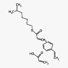 C=CC(=O)O.C=CC(=O)OCCCCCC(C)C.C=Cc1ccccc1